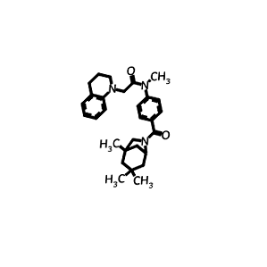 CN(C(=O)CN1CCCc2ccccc21)c1ccc(C(=O)N2CC3(C)CC2CC(C)(C)C3)cc1